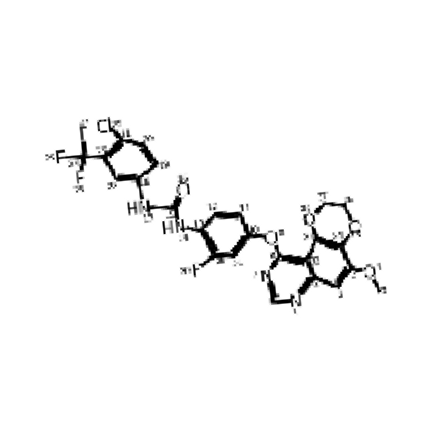 COc1cc2ncnc(Oc3ccc(NC(=O)Nc4ccc(Cl)c(C(F)(F)F)c4)c(F)c3)c2c2c1OCCO2